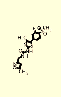 Cc1cc(CNC(=O)Nc2nc(C)c(-c3ccc(S(C)(=O)=O)c(F)c3)s2)no1